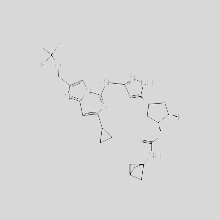 O=C(NC12CC(C1)C2)O[C@H]1C[C@@H](c2cc(Nc3nc(C4CC4)cc4nc(COC(F)(F)F)cn34)n[nH]2)C[C@H]1F